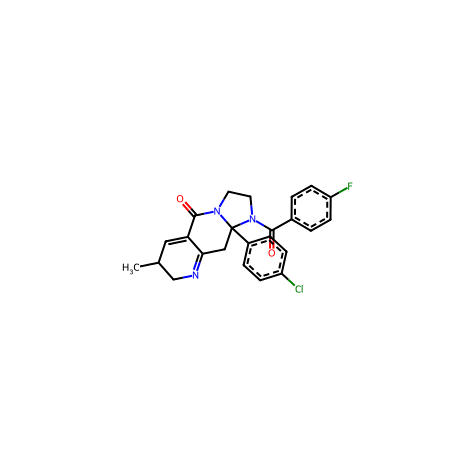 CC1C=C2C(=O)N3CCN(C(=O)c4ccc(F)cc4)C3(c3ccc(Cl)cc3)CC2=NC1